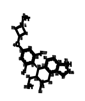 CCCN1CC(Oc2cc(F)c([C@@H]3c4ccc5[nH]ncc5c4CN(C)[C@H]3CC(C)C)c(F)c2)C1